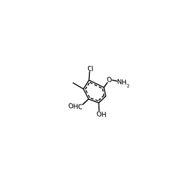 Cc1c(Cl)c(ON)cc(O)c1C=O